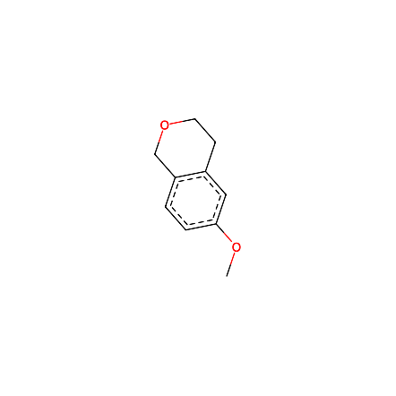 COc1ccc2c(c1)CCOC2